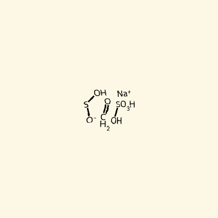 C=O.O=S(=O)(O)O.[Na+].[O-]SO